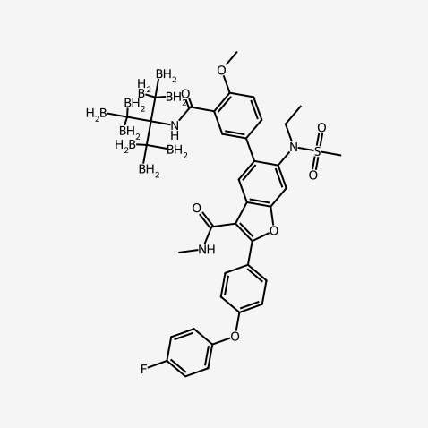 BC(B)(B)C(NC(=O)c1cc(-c2cc3c(C(=O)NC)c(-c4ccc(Oc5ccc(F)cc5)cc4)oc3cc2N(CC)S(C)(=O)=O)ccc1OC)(C(B)(B)B)C(B)(B)B